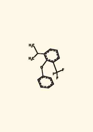 CC(C)c1cccc(C(F)(F)F)c1Oc1ccccc1